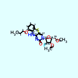 CCCOc1cccc2c1Nc1nc(=O)n([C@@H]3O[C@H](COC)C(OC)[C@@H]3F)cc1S2